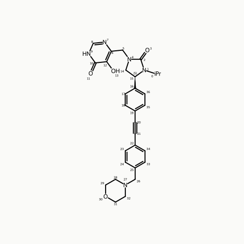 CC(C)N1C(=O)N(Cc2nc[nH]c(=O)c2O)C[C@@H]1c1ccc(C#Cc2ccc(CN3CCOCC3)cc2)cc1